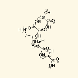 NCCN.O=C(O)C(=O)O.O=C(O)C(=O)O.O=C(O)C(=O)O.O=C(O)C(=O)O